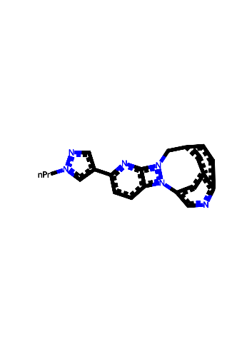 CCCn1cc(-c2ccc3c(n2)n2n3-c3cnc4ccc(cc4c3)C2)cn1